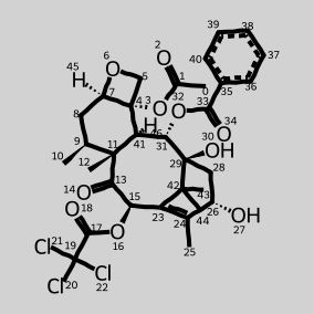 CC(=O)O[C@@]12CO[C@@H]1C[C@H](C)[C@@]1(C)C(=O)[C@H](OC(=O)C(Cl)(Cl)Cl)C3=C(C)[C@@H](O)C[C@@](O)([C@@H](OC(=O)c4ccccc4)[C@H]21)C3(C)C